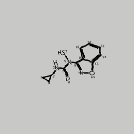 O=C(NC1CC1)N(S)c1noc2ccccc12